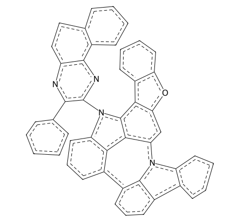 c1ccc(-c2nc3ccc4ccccc4c3nc2-n2c3cccc4c5cccc6c7ccccc7n(c7cc8oc9ccccc9c8c2c7c43)c56)cc1